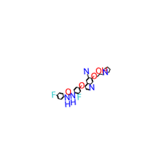 N#Cc1cc2c(Oc3ccc(NC(=O)Nc4ccc(F)cc4)c(F)c3)ccnc2cc1OCC(O)CN1CCCC1